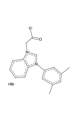 Br.Cc1cc(C)cc(-n2c[n+](CC(=O)[O-])c3ccccc32)c1